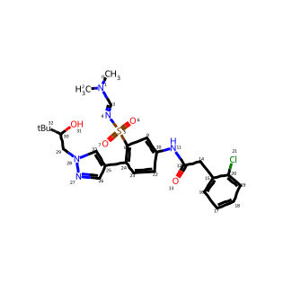 CN(C)C=NS(=O)(=O)c1cc(NC(=O)Cc2ccccc2Cl)ccc1-c1cnn(CC(O)C(C)(C)C)c1